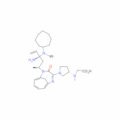 C=C[C@@](N)(C[C@H](C)N1C(=O)C(N2CC[C@H](N(C)CC(=O)O)C2)=NC2=CC=CC=C1C2)N(C(C)C)C1CCCCCCC1